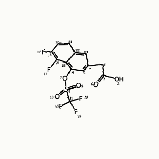 O=C(O)Cc1cc(OS(=O)(=O)C(F)(F)F)c2c(F)c(F)ccc2c1